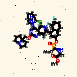 COC(N[C@@H](C)C(=O)OC(C)C)[PH](=O)Oc1cc(-c2nc(Cl)c3c(N4CC5CCC(C4)N5)nc(OCC45CCCN4CCC5)nc3c2F)c2c(F)c(F)ccc2c1